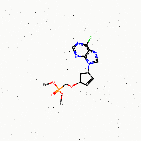 CCOP(=O)(CO[C@@H]1C=C[C@H](n2cnc3c(Cl)ncnc32)C1)OCC